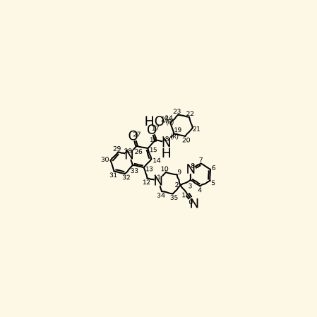 N#CC1(c2ccccn2)CCN(Cc2cc(C(=O)N[C@@H]3CCCC[C@H]3O)c(=O)n3ccccc23)CC1